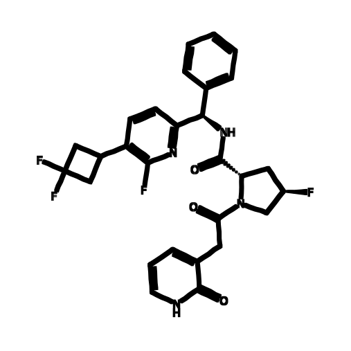 O=C(N[C@H](c1ccccc1)c1ccc(C2CC(F)(F)C2)c(F)n1)[C@@H]1C[C@@H](F)CN1C(=O)Cc1ccc[nH]c1=O